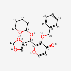 O=c1ccoc(C(OC2CCCCO2)C2=COCO2)c1OCc1ccccc1